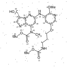 COc1ncc(OCCCNC(=O)OC(C)(C)C)cc1Nc1cc(N(C)C(=O)OC(C)(C)C)c2ncc(C(=O)O)n2n1